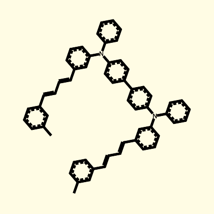 Cc1cccc(/C=C/C=C/c2cccc(N(c3ccccc3)c3ccc(-c4ccc(N(c5ccccc5)c5cccc(/C=C/C=C/c6cccc(C)c6)c5)cc4)cc3)c2)c1